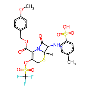 COc1ccc(COC(=O)C2=C(OS(=O)(=O)C(F)(F)F)CS[C@H]3[C@H](N)C(=O)N23)cc1.Cc1ccc(S(=O)(=O)O)cc1